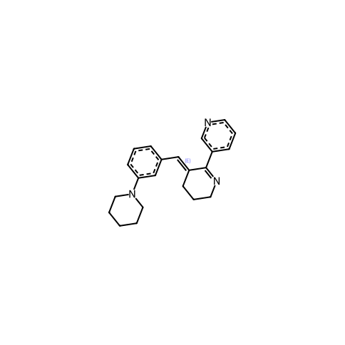 C(=C1/CCCN=C1c1cccnc1)/c1cccc(N2CCCCC2)c1